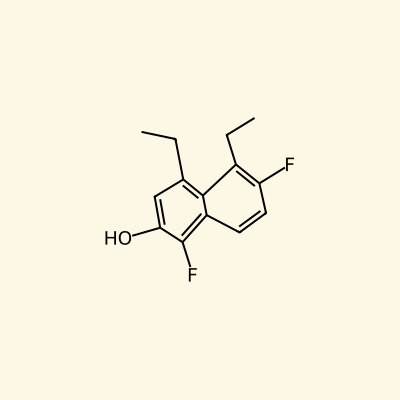 CCc1cc(O)c(F)c2ccc(F)c(CC)c12